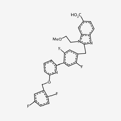 COCCn1c(Cc2cc(F)c(-c3cccc(OCc4cc(F)ccc4F)n3)cc2F)nc2ccc(C(=O)O)cc21